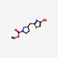 CC(C)(C)OC(=O)N1CCC(Cc2nc(O)cs2)C1